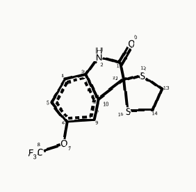 O=C1Nc2ccc(OC(F)(F)F)cc2C12SCCS2